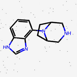 c1cc(N2C3CCC2CNC3)c2nc[nH]c2c1